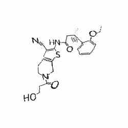 CCOc1ccccc1[C@@H](C)CC(=O)Nc1sc2c(c1C#N)CCN(C(=O)CCO)C2